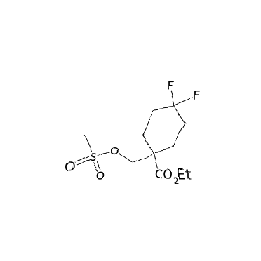 CCOC(=O)C1(COS(C)(=O)=O)CCC(F)(F)CC1